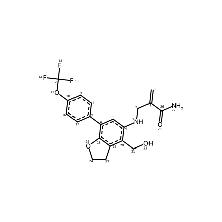 C=C(CNc1cc(-c2ccc(OC(F)(F)F)cc2)c2c(c1CO)CCO2)C(N)=O